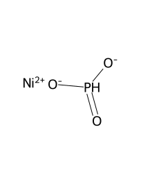 O=[PH]([O-])[O-].[Ni+2]